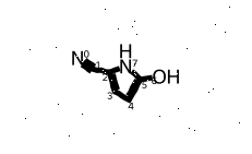 N#Cc1ccc(O)[nH]1